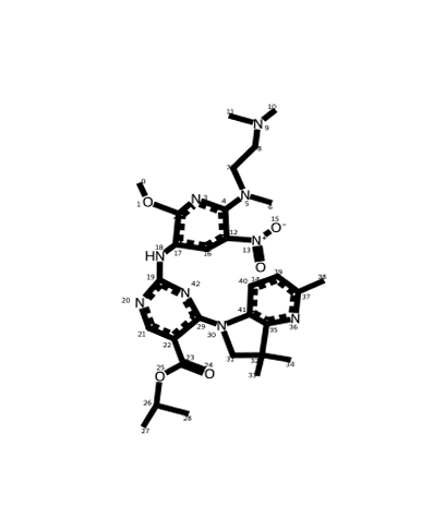 COc1nc(N(C)CCN(C)C)c([N+](=O)[O-])cc1Nc1ncc(C(=O)OC(C)C)c(N2CC(C)(C)c3nc(C)ccc32)n1